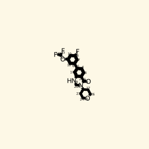 O=C1c2ccc(-c3cc(F)cc(OC(F)F)c3)cc2NCN1C1CCOCC1